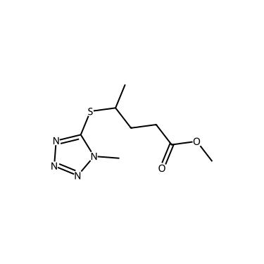 COC(=O)CCC(C)Sc1nnnn1C